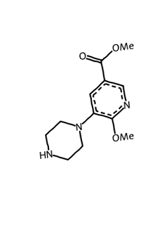 COC(=O)c1cnc(OC)c(N2CCNCC2)c1